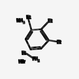 Br.CCP.CCc1cccc(CC)c1CC.N